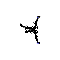 CC/C=C\CCCCOCCCCCC(=O)OCC(COC(=O)CCCCC(=O)OCCCC/C=C\CC)(COC(=O)CCCCC(=O)OCCCC/C=C\CC)COC(=O)OCCCN(CC)CC